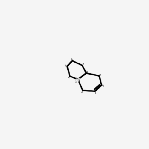 [C]1=CCN2CCCCC2C1